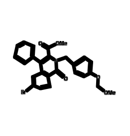 COCOc1ccc(Cn2c(C(=O)OC)c(-c3ccccc3)c3cc(Br)ccc3c2=O)cc1